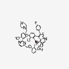 COc1ccccc1-c1nccc(COc2ccccc2CC(Oc2ncnc3sc(-c4ccc(F)cc4)c(-c4ccc(OCCN5CCN(C)CC5)c(Cl)c4C#N)c23)C(=O)O)n1